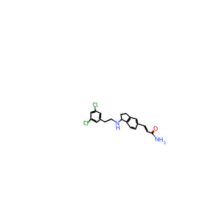 NC(=O)/C=C/c1ccc2c(c1)CCC2NCCc1cc(Cl)cc(Cl)c1